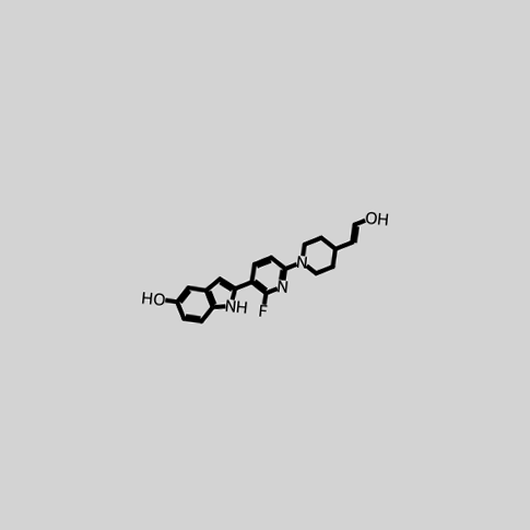 O/C=C/C1CCN(c2ccc(-c3cc4cc(O)ccc4[nH]3)c(F)n2)CC1